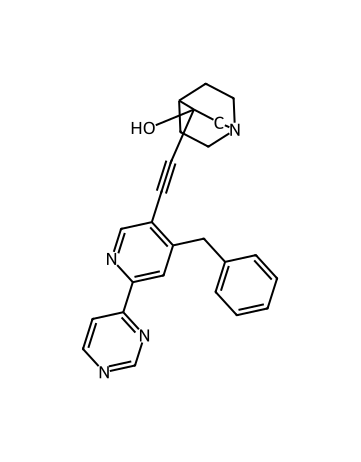 OC1(C#Cc2cnc(-c3ccncn3)cc2Cc2ccccc2)CN2CCC1CC2